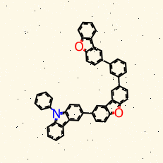 c1ccc(-n2c3ccccc3c3cc(-c4ccc5oc6ccc(-c7cccc(-c8ccc9oc%10ccccc%10c9c8)c7)cc6c5c4)ccc32)cc1